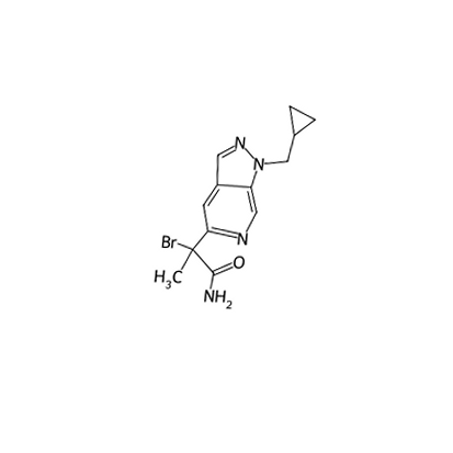 CC(Br)(C(N)=O)c1cc2cnn(CC3CC3)c2cn1